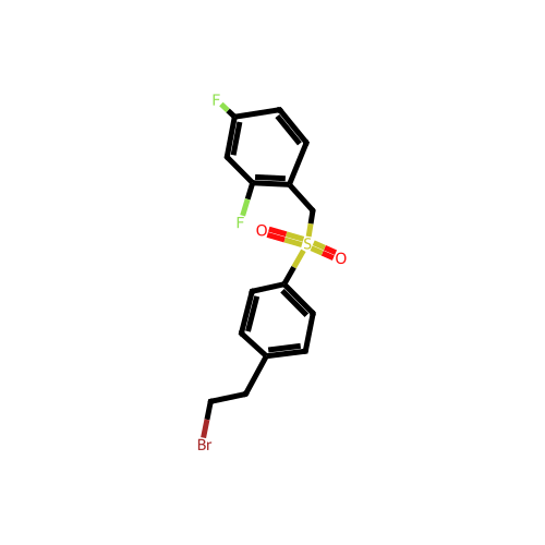 O=S(=O)(Cc1ccc(F)cc1F)c1ccc(CCBr)cc1